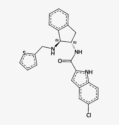 O=C(N[C@H]1Cc2ccccc2[C@@H]1NCc1cccs1)c1cc2cc(Cl)ccc2[nH]1